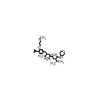 COCCCOc1cc(CC(C[C@H](N)[C@@H](O)CC(C(=O)NC2CCOCC2)C(C)C)C(C)C)ccc1C1CC1